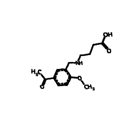 COc1ccc(C(C)=O)cc1CNCCCC(=O)O